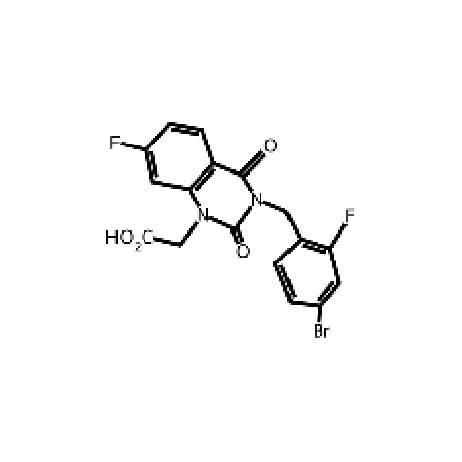 O=C(O)Cn1c(=O)n(Cc2ccc(Br)cc2F)c(=O)c2ccc(F)cc21